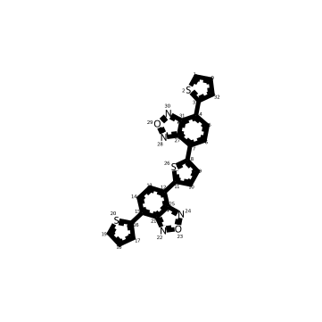 c1csc(-c2ccc(-c3ccc(-c4ccc(-c5cccs5)c5nonc45)s3)c3nonc23)c1